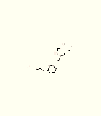 CC(C)(C)OC(=O)NC(CCC(N)=O)COc1cccc(CCCC(=O)O)c1F